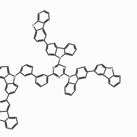 c1cc(-c2cccc(-n3c4ccccc4c4cc(-c5ccc6sc7ccccc7c6c5)ccc43)c2)cc(-c2nc(-n3c4ccccc4c4cc(-c5ccc6sc7ccccc7c6c5)ccc43)nc(-n3c4ccccc4c4cc(-c5ccc6sc7ccccc7c6c5)ccc43)n2)c1